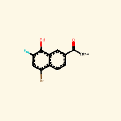 COC(=O)c1ccc2c(Br)cc(F)c(O)c2c1